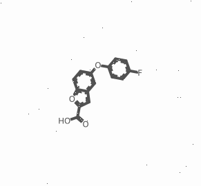 O=C(O)c1cc2cc(Oc3ccc(F)cc3)ccc2o1